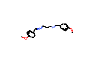 COc1ccc(C=NCCCN=Cc2ccc(OC)cc2)cc1